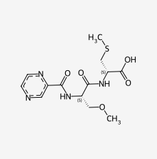 COC[C@H](NC(=O)c1cnccn1)C(=O)N[C@H](CSC)C(=O)O